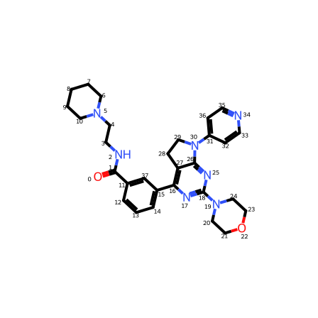 O=C(NCCN1CCCCC1)c1cccc(-c2nc(N3CCOCC3)nc3c2CCN3c2ccncc2)c1